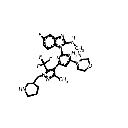 CNc1nc2cc(F)ccc2n1-c1nc(-c2c(C)nn(CC3CCCNC3)c2C(F)(F)F)cc(N2CCOC[C@H]2C)n1